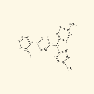 Cc1ccc(N(c2ccc(C)cc2)c2ccc(C3=CC=CCC3=S)cc2)cc1